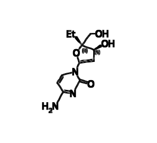 CC[C@]1(CO)OC(n2ccc(N)nc2=O)=C[C@@H]1O